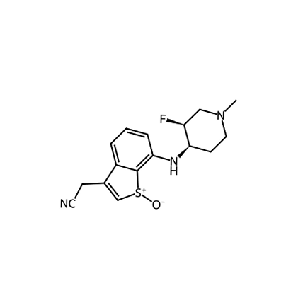 CN1CC[C@@H](Nc2cccc3c(CC#N)c[s+]([O-])c23)[C@@H](F)C1